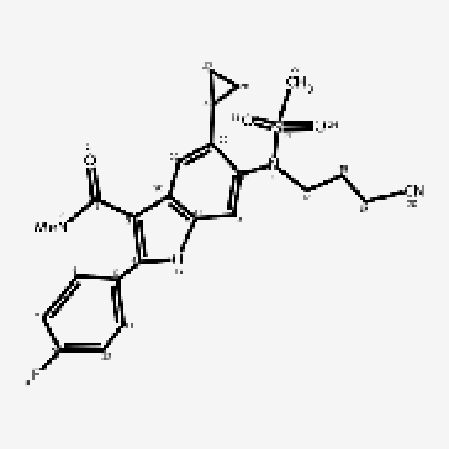 CNC(=O)c1c(-c2ccc(F)cc2)oc2cc(N(CCCC#N)S(C)(=O)=O)c(C3CC3)cc12